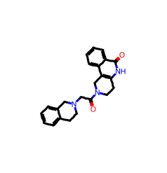 O=C(CN1CCc2ccccc2C1)N1CCc2[nH]c(=O)c3ccccc3c2C1